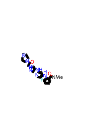 CNC(=O)c1ccccc1Nc1cc(Nc2cnn(CC(=O)N3CCCN(C)CC3)c2)ncc1F